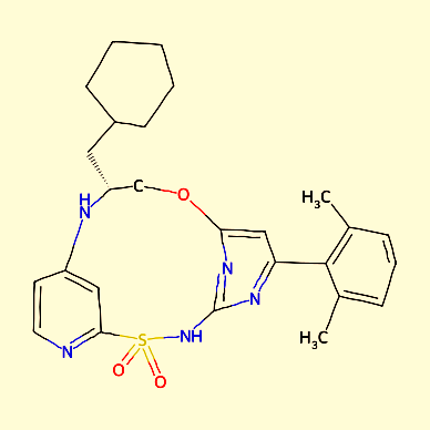 Cc1cccc(C)c1-c1cc2nc(n1)NS(=O)(=O)c1cc(ccn1)N[C@H](CC1CCCCC1)CO2